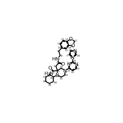 NC(=O)C1(CC(=O)NCCc2ccc3c(c2)OCO3)CN(c2ccnc(-n3ccnc3)n2)CCN1C1CCCCC1